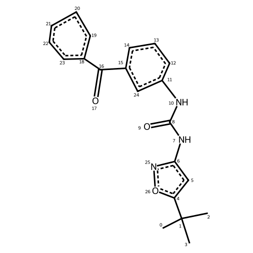 CC(C)(C)c1cc(NC(=O)Nc2cccc(C(=O)c3ccccc3)c2)no1